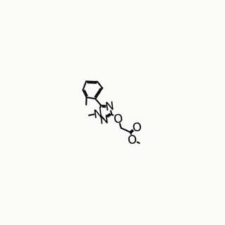 COC(=O)COc1nc(-c2ccccc2C)n(C)n1